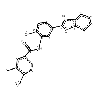 Cc1cc(C(=O)Nc2cc(-c3nc4ccccc4s3)ccc2Cl)ccc1[N+](=O)[O-]